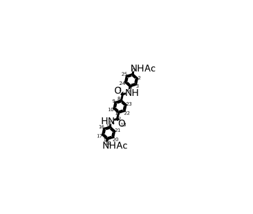 CC(=O)Nc1ccc(NC(=O)c2ccc(C(=O)Nc3ccc(NC(C)=O)cc3)cc2)cc1